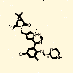 Cc1cc(Cl)cc(-c2ncnn3cc(CN4C(=O)C5C(C4=O)C5(C)C)cc23)c1NC[C@@H]1CNCCO1